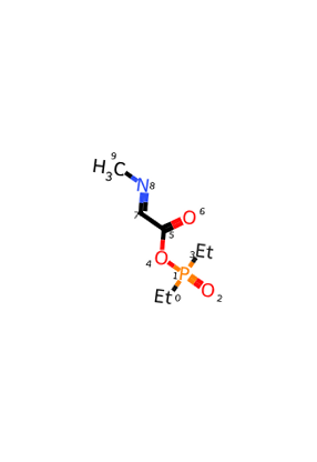 CCP(=O)(CC)OC(=O)C=NC